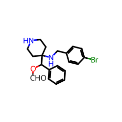 O=COC(c1ccccc1)C1(NCc2ccc(Br)cc2)CCNCC1